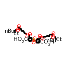 CCCCC(CC)COC(=O)CCCCCOC(=O)c1cc(S(=O)(=O)c2ccc(C(=O)O)c(C(=O)OCCCCCC(=O)OCC(CC)CCCC)c2)ccc1C(=O)O